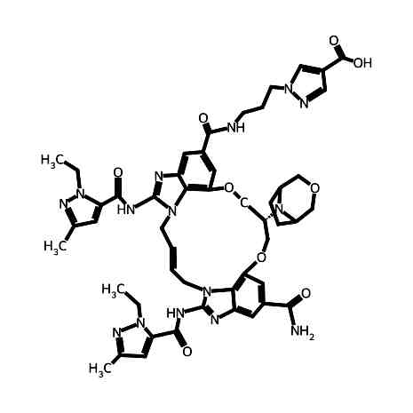 CCn1nc(C)cc1C(=O)Nc1nc2cc(C(N)=O)cc3c2n1C/C=C/Cn1c(NC(=O)c2cc(C)nn2CC)nc2cc(C(=O)NCCCn4cc(C(=O)O)cn4)cc(c21)OC[C@H](N1C2CCC1COC2)CO3